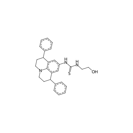 OCCNC(=S)Nc1cc2c3c(c1)C(c1ccccc1)CCN3CCC2c1ccccc1